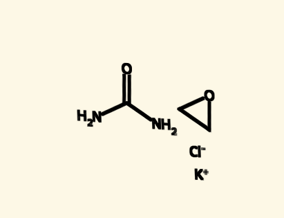 C1CO1.NC(N)=O.[Cl-].[K+]